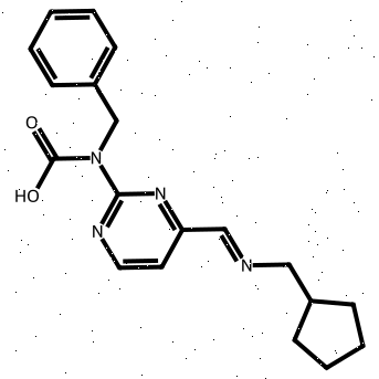 O=C(O)N(Cc1ccccc1)c1nccc(/C=N/CC2CCCC2)n1